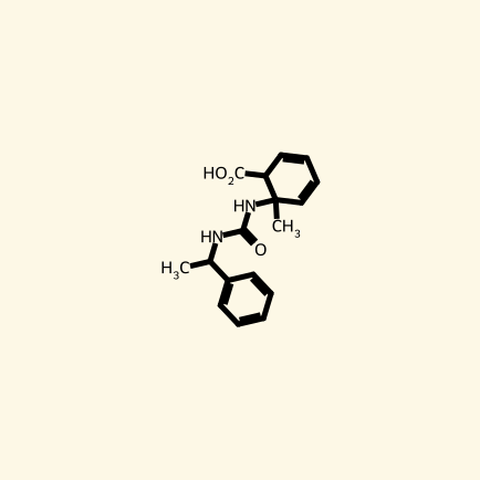 CC(NC(=O)NC1(C)C=CC=CC1C(=O)O)c1ccccc1